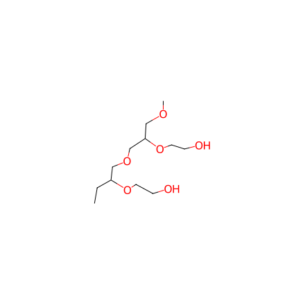 CCC(COCC(COC)OCCO)OCCO